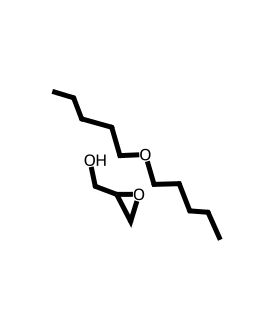 CCCCCOCCCCC.OCC1CO1